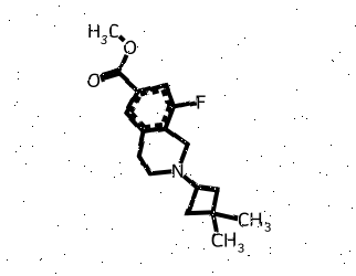 COC(=O)c1cc(F)c2c(c1)CCN(C1CC(C)(C)C1)C2